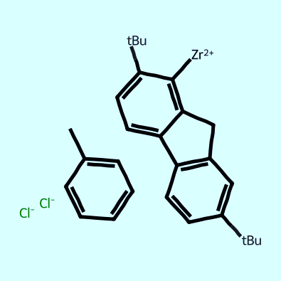 CC(C)(C)c1ccc2c(c1)Cc1c-2ccc(C(C)(C)C)[c]1[Zr+2].Cc1ccccc1.[Cl-].[Cl-]